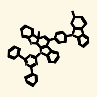 CC1C=Cc2c(n(-c3ccc(C4=CC5(C)c6ccccc6OC5c5c4c4ccccc4n5-c4nc(-c5ccccc5)nc(-c5ccccc5)n4)cc3)c3ccccc23)C1